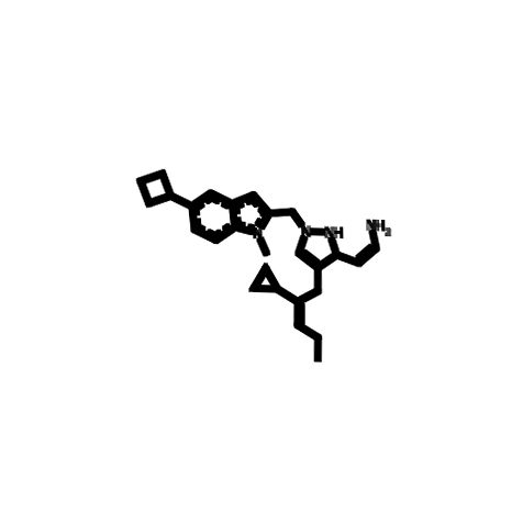 CC/C=C(\CC1=CN(Cc2cc3cc(C4CCC4)ccc3n2C)NC1/C=C\N)C1CC1